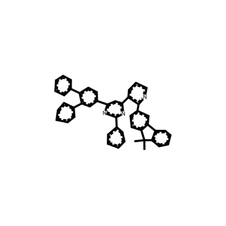 CC1(C)c2ccccc2-c2cc(-c3ncccc3-c3cc(-c4ccc(-c5ccccc5)c(-c5ccccc5)c4)nc(-c4ccccc4)n3)ccc21